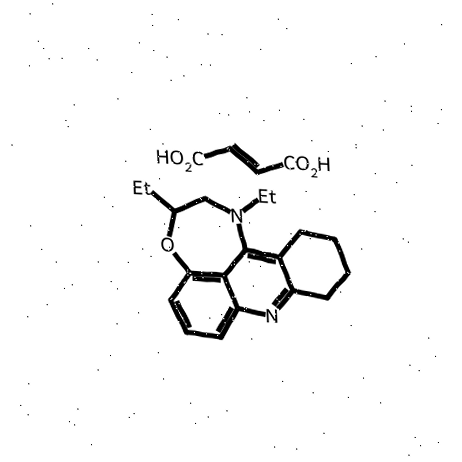 CCC1CN(CC)c2c3c(nc4cccc(c24)O1)CCCC3.O=C(O)C=CC(=O)O